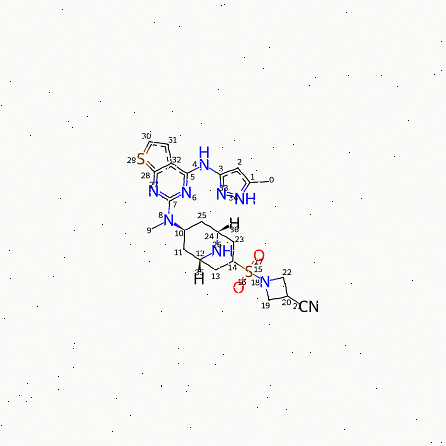 Cc1cc(Nc2nc(N(C)[C@@H]3C[C@H]4CC(S(=O)(=O)N5CC(C#N)C5)C[C@@H](C3)N4)nc3sccc23)n[nH]1